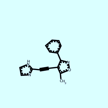 Cc1onc(-c2ccccc2)c1C#Cc1ncc[nH]1